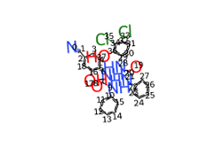 N#Cc1ccc(NC(=O)Nc2ccccc2)c(O)c1.O=C(Nc1ccccc1)Nc1ccc(Cl)c(Cl)c1O